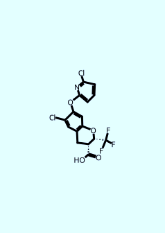 O=C(O)[C@@H]1Cc2cc(Cl)c(Oc3cccc(Cl)n3)cc2O[C@@H]1C(F)(F)F